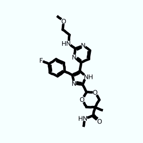 CNC(=O)C1(C)COC(c2nc(-c3ccc(F)cc3)c(-c3ccnc(NCCOC)n3)[nH]2)OC1